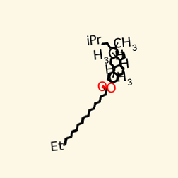 CCC=CCC=CCC=CCCCCCCCC(=O)OC1CC[C@@]2(C)C(CC[C@H]3[C@@H]4CC[C@H]([C@H](C)CCCC(C)C)[C@@]4(C)CC[C@@H]32)C1